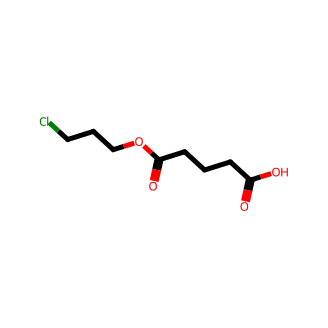 O=C(O)CCCC(=O)OCCCCl